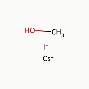 CO.[Cs+].[I-]